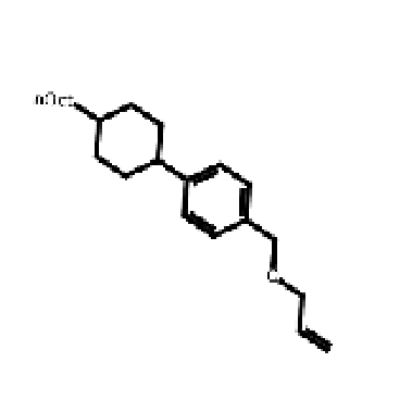 C=CCOCc1ccc(C2CCC(CCCCCCCC)CC2)cc1